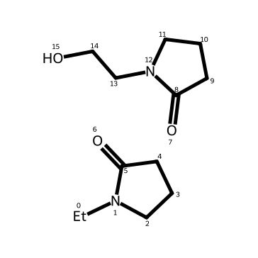 CCN1CCCC1=O.O=C1CCCN1CCO